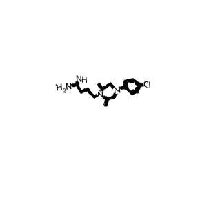 CC1CN(c2ccc(Cl)cc2)CC(C)N1CCCC(=N)N